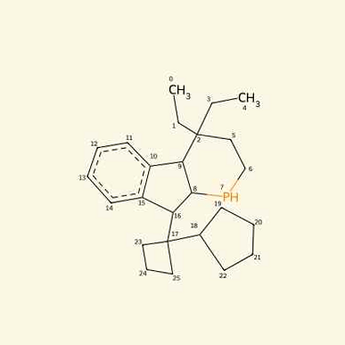 CCC1(CC)CCPC2C1c1ccccc1C2C1(C2CCCC2)CCC1